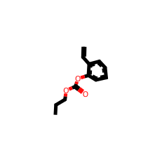 C=Cc1ccccc1OC(=O)OCCC